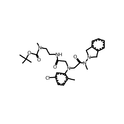 Cc1ccc(Cl)cc1N(CC(=O)NCCN(C)C(=O)OC(C)(C)C)CC(=O)N(C)N1Cc2ccccc2C1